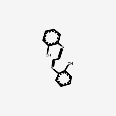 Oc1ccccc1/N=C\C=N/c1ccccc1O